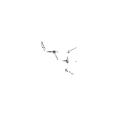 CO[Si](C)(CNC=O)OC